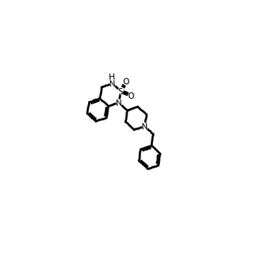 O=S1(=O)NCc2ccccc2N1C1CCN(Cc2ccccc2)CC1